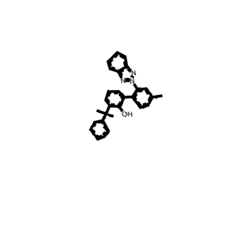 Cc1ccc(-c2cccc(C(C)(C)c3ccccc3)c2O)c(-n2nc3ccccc3n2)c1